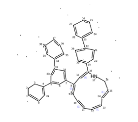 C1=CCCC(c2cc(C3=N/C=C\C=C/C=C/CN/C(c4ccc(-c5ccccc5)cc4)=C\3)cc(-c3cccnc3)c2)=C1